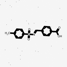 Cc1ccc(S(=O)(=O)N=Cc2ccc(C(=O)O)cc2)cc1